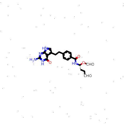 Nc1nc2[nH]cc(CCc3ccc(C(=O)N[C@@H](CCC=O)OC=O)cc3)c2c(=O)[nH]1